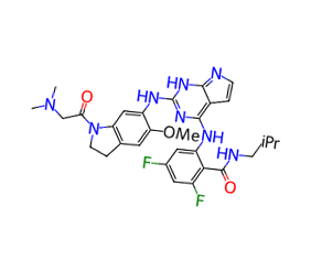 COc1cc2c(cc1Nc1nc(Nc3cc(F)cc(F)c3C(=O)NCC(C)C)c3ccnc-3[nH]1)N(C(=O)CN(C)C)CC2